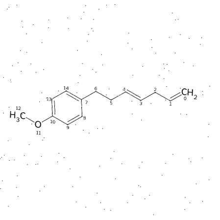 C=CCC=CCCc1ccc(OC)cc1